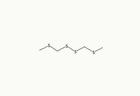 CSCSSCSC